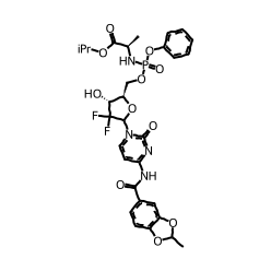 CC(C)OC(=O)[C@@H](C)NP(=O)(OC[C@H]1OC(n2ccc(NC(=O)c3ccc4c(c3)OC(C)O4)nc2=O)C(F)(F)[C@@H]1O)Oc1ccccc1